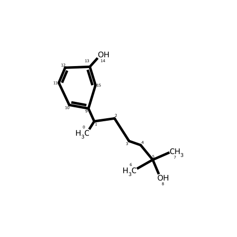 CC(CCCC(C)(C)O)c1cccc(O)c1